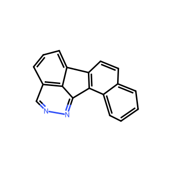 c1ccc2c3c(ccc2c1)-c1cccc2cnnc-3c12